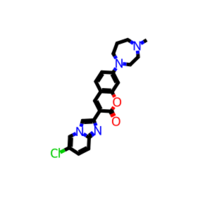 CN1CCCN(c2ccc3cc(-c4cn5cc(Cl)ccc5n4)c(=O)oc3c2)CC1